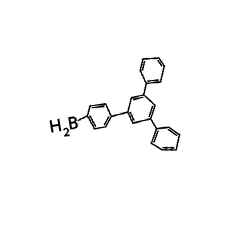 Bc1ccc(-c2cc(-c3ccccc3)cc(-c3ccccc3)c2)cc1